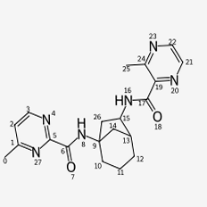 Cc1ccnc(C(=O)NC23CCCC(C2)C(NC(=O)c2nccnc2C)C3)n1